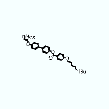 CCCCCC/C=C/Oc1ccc(-c2ccc(OC(=O)c3ccc(OCCCCC[C@@H](C)CC)cc3)cc2)cc1